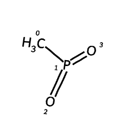 CP(=O)=O